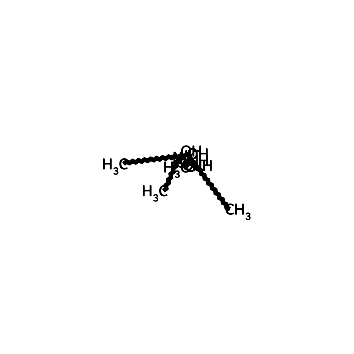 CCCCCCCCCCCCCCCCCCNC(=O)N[C@@H]1[C@@H](OC)O[C@H](CN(CCCCCCCCCCCCCCCCCC)C(=O)CCCCCCCCCCC)[C@@H](O)[C@@H]1O